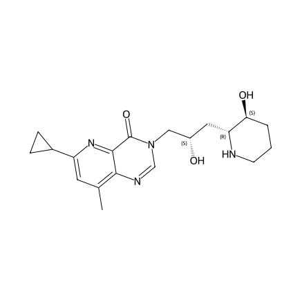 Cc1cc(C2CC2)nc2c(=O)n(C[C@@H](O)C[C@H]3NCCC[C@@H]3O)cnc12